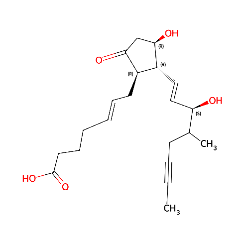 CC#CCC(C)[C@H](O)C=C[C@H]1[C@H](O)CC(=O)[C@@H]1CC=CCCCC(=O)O